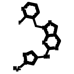 Cn1cc(Nc2ncc3cnn(Cc4cccnc4F)c3n2)cn1